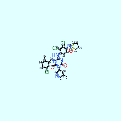 Cc1cncc(-n2c(=O)nc(Nc3ccc(N=S4(=O)CCCC4)c(Cl)c3Cl)n(Cc3cc(Cl)ccc3C)c2=O)c1